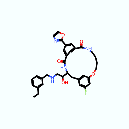 CCc1cccc(CNCC(O)C2Cc3cc(F)cc(c3)OCCCCNC(=O)c3cc(cc(-c4ncco4)c3)C(=O)N2)c1